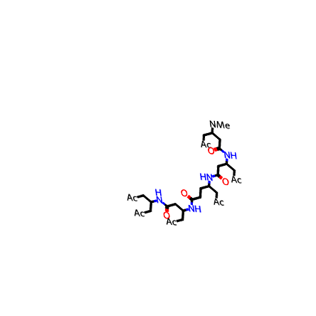 CNC(CC(C)=O)CC(=O)NC(CC(C)=O)CC(=O)NC(CCC(=O)NC(CC(C)=O)CC(=O)NC(CC(C)=O)CC(C)=O)CC(C)=O